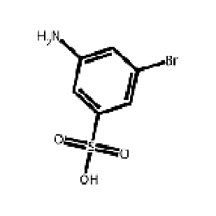 Nc1cc(Br)cc(S(=O)(=O)O)c1